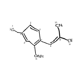 COc1cc(O)ccc1C=C(C#N)C#N